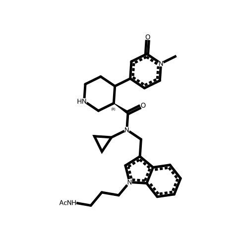 CC(=O)NCCCn1cc(CN(C(=O)[C@H]2CNCCC2c2ccn(C)c(=O)c2)C2CC2)c2ccccc21